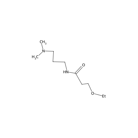 CCOCCC(=O)NCCCN(C)C